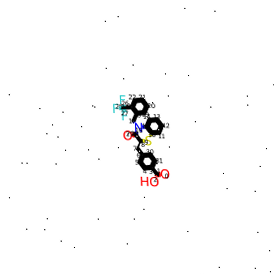 O=C(O)c1ccc(C[C@@H]2Sc3ccccc3N(Cc3ccccc3C(F)(F)F)C2=O)cc1